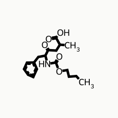 CCCCOC(=O)NC(Cc1ccccc1)C(=O)CC(C)C(=O)O